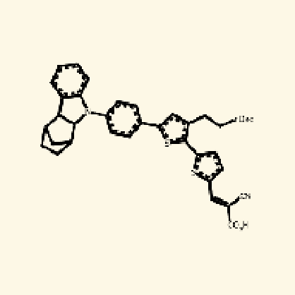 CCCCCCCCCCCCc1cc(-c2ccc(N3c4ccccc4C4C5CCC(C5)C43)cc2)sc1-c1ccc(/C=C(\C#N)C(=O)O)s1